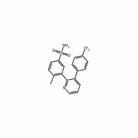 NS(=O)(=O)c1ccc(F)c(-c2ncccc2-c2ccc(C(F)(F)F)cc2)c1